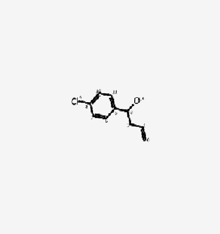 C=CCC([O])c1ccc(Cl)cc1